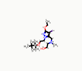 CCOc1nn(CCO[Si](C)(C)C(C)(C)C)c(CN(C)CCO)c1I